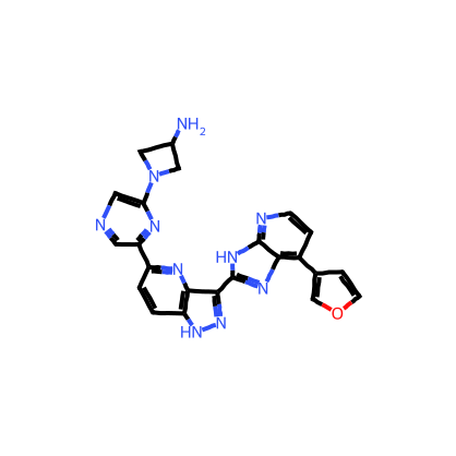 NC1CN(c2cncc(-c3ccc4[nH]nc(-c5nc6c(-c7ccoc7)ccnc6[nH]5)c4n3)n2)C1